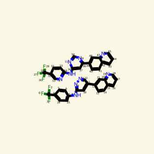 FC(F)(F)c1ccc(Nc2cc(-c3ccc4cccnc4c3)cnn2)cc1.FC(F)(F)c1ccc(Nc2cc(-c3ccc4cccnc4c3)ncn2)nc1